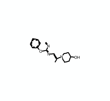 C=N/C(=N\C=C(/C)N1CCC(O)CC1)Oc1ccccc1